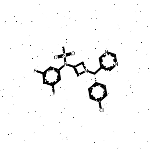 CS(=O)(=O)N(c1cc(F)cc(F)c1)C1CN([C@@H](c2ccc(Cl)cc2)c2cncnc2)C1